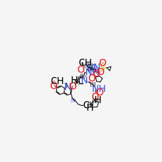 C=C[C@@H]1C[C@]1(NC(=O)[C@@H]1C[C@@H]2CN1C(=O)[C@H](C1CCCC1)NC(=O)O[C@H]1CCC[C@@H]1CCC/C=C/c1cc3ccc(OC)cc3nc1O2)C(=O)NS(=O)(=O)C1CC1